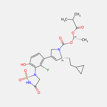 CC(C)C(=O)O[C@H](C)OC(=O)N1CC(c2ccc(O)c(N3CC(=O)NS3(=O)=O)c2F)=C[C@H]1CCC1CC1